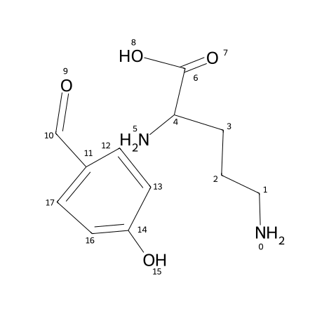 NCCCC(N)C(=O)O.O=Cc1ccc(O)cc1